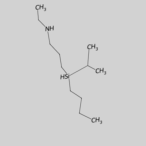 CCCC[SiH](CCCNCC)C(C)C